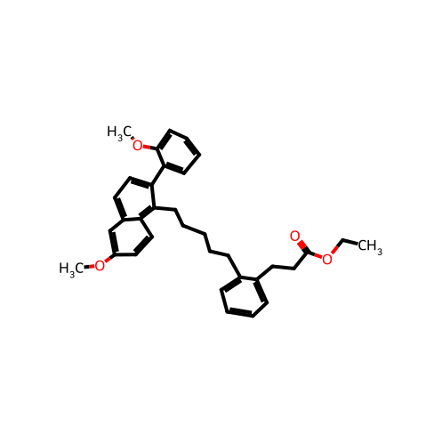 CCOC(=O)CCc1ccccc1CCCCCc1c(-c2ccccc2OC)ccc2cc(OC)ccc12